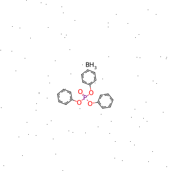 B.O=P(Oc1ccccc1)(Oc1ccccc1)Oc1ccccc1